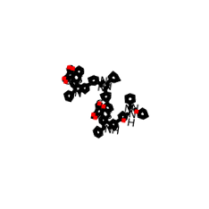 c1ccc(C2=NC(c3ccc(-c4ccc5c(c4)-c4c(ccc6c4Sc4ccc(-c7ccc(-c8nc(-c9ccccc9)nc(-c9cccc(-c%10ccc%11nc(-c%12ccccc%12)c%12ccc%13c(c%12c%11c%10)Sc%10ccccc%10C%13%10c%11ccccc%11-c%11ccccc%11%10)c9)n8)cc7)cc4C64c6ccccc6-c6ccccc64)C(c4ccccc4)N5)cc3)NC(c3ccccc3)=N2)cc1